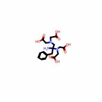 NC(Cc1ccccc1)(CN(CC(=O)O)CC(=O)O)N(CC(=O)O)CC(=O)O